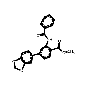 COC(=O)c1ccc(-c2ccc3c(c2)OCO3)cc1NC(=O)c1ccccc1